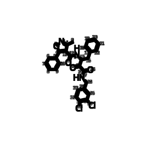 Cc1noc(-c2ccccc2)c1C(=O)NC(Cc1ccccc1)C(=O)C(=O)NCc1ccc(Cl)c(Cl)c1